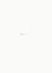 CC(=O)N(N)S(C)(=O)=O